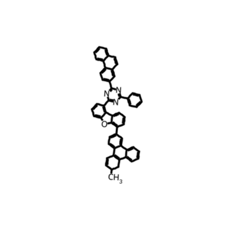 CC1C=Cc2c(c3ccccc3c3cc(-c4cccc5c4oc4cccc(-c6nc(-c7ccccc7)nc(-c7ccc8c(ccc9ccccc98)c7)n6)c45)ccc23)C1